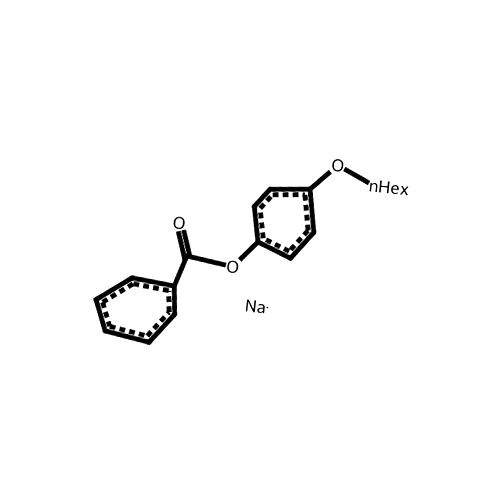 CCCCCCOc1ccc(OC(=O)c2ccccc2)cc1.[Na]